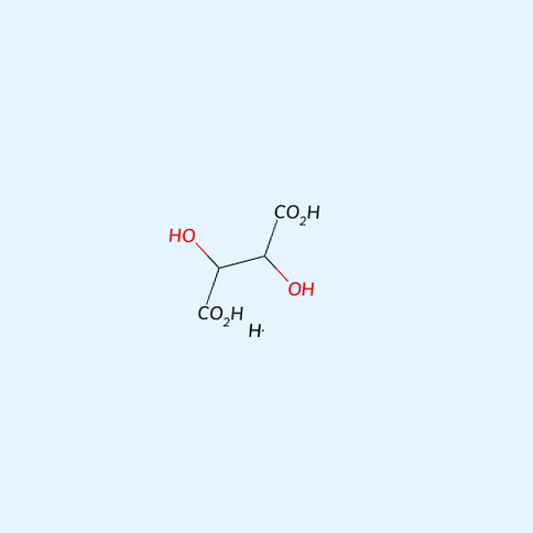 O=C(O)C(O)C(O)C(=O)O.[H]